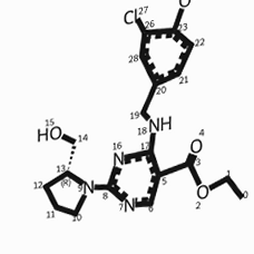 CCOC(=O)c1cnc(N2CCC[C@@H]2CO)nc1NCc1ccc(OC)c(Cl)c1